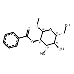 CO[C@H]1O[C@H](CO)[C@@H](O)[C@H](O)[C@H]1OC(=O)c1ccccc1